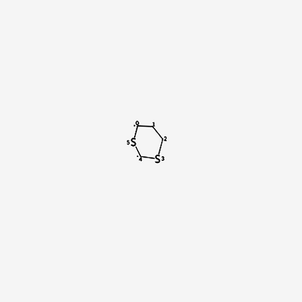 [CH]1CCS[CH]S1